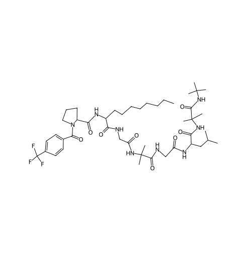 CCCCCCCCC(NC(=O)C1CCCN1C(=O)c1ccc(C(F)(F)F)cc1)C(=O)NCC(=O)NC(C)(C)C(=O)NCC(=O)NC(CC(C)C)C(=O)NC(C)(C)C(=O)NC(C)(C)C